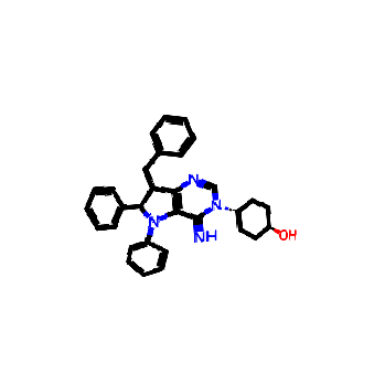 N=c1c2c(ncn1[C@H]1CC[C@H](O)CC1)C(Cc1ccccc1)C(c1ccccc1)N2c1ccccc1